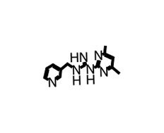 Cc1cc(C)nc(NC(=N)NCc2cccnc2)n1